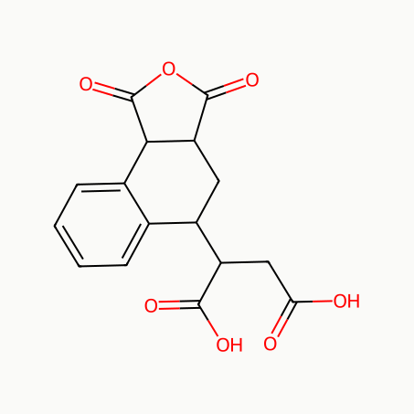 O=C(O)CC(C(=O)O)C1CC2C(=O)OC(=O)C2c2ccccc21